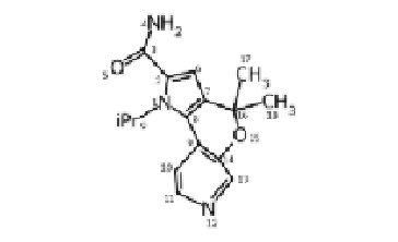 CC(C)n1c(C(N)=O)cc2c1-c1ccncc1OC2(C)C